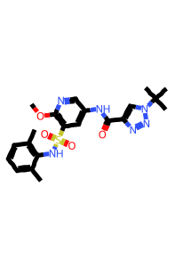 COc1ncc(NC(=O)c2cn(C(C)(C)C)nn2)cc1S(=O)(=O)Nc1c(C)cccc1C